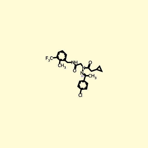 C/C(=N\N(CC(=O)NCc1cccc(C(F)(F)F)c1C)C(=O)CC1CC1)c1ccc(Cl)cc1